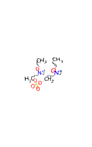 C=CC[N+]1(OC=CC)CC1.C=CC[N+]1(OC=CC)CC1.O=S(=O)([O-])[O-]